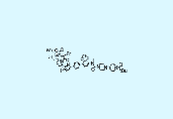 COC(=O)N[C@H](C(=O)N1[C@@H](C)CC[C@H]1c1nc(-c2ccc(C3=CC=C(NC(=O)N4CCN(C5CCN(C(=O)C(C)(C)C)CC5)CC4)CC3OC(F)(F)F)cc2)c[nH]1)C(C)C